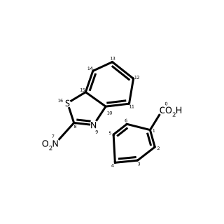 O=C(O)c1ccccc1.O=[N+]([O-])c1nc2ccccc2s1